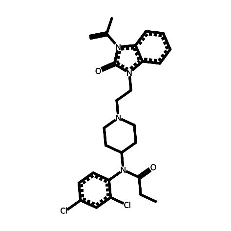 C=C(C)n1c(=O)n(CCN2CCC(N(C(=O)CC)c3ccc(Cl)cc3Cl)CC2)c2ccccc21